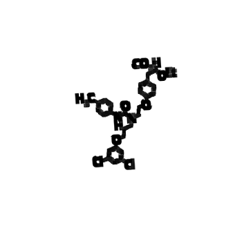 CCOC(Cc1ccc(OCCN(CCCOc2cc(Cl)cc(Cl)c2)C(=O)Nc2ccc(C)cc2)cc1)C(=O)O